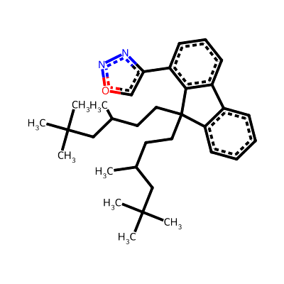 CC(CCC1(CCC(C)CC(C)(C)C)c2ccccc2-c2cccc(-c3conn3)c21)CC(C)(C)C